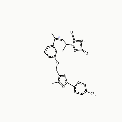 C/C(=C/C(C)n1oc(=O)[nH]c1=O)c1cccc(OCc2nc(-c3ccc(C(F)(F)F)cc3)oc2C)c1